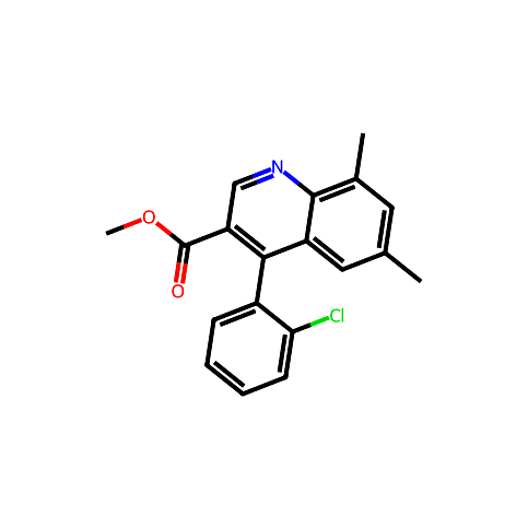 COC(=O)c1cnc2c(C)cc(C)cc2c1-c1ccccc1Cl